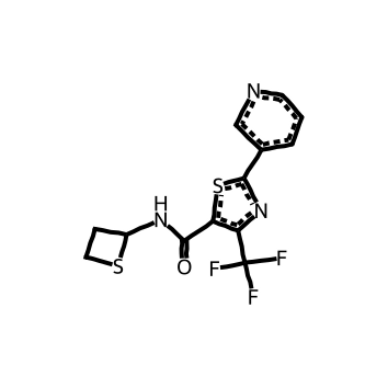 O=C(NC1CCS1)c1sc(-c2cccnc2)nc1C(F)(F)F